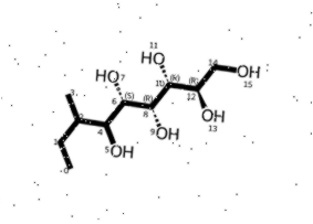 CCC(C)C(O)[C@H](O)[C@@H](O)[C@H](O)[C@H](O)CO